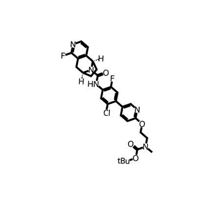 CN(CCOc1ccc(-c2cc(F)c(NC(=O)N3[C@H]4CC[C@@H]3c3ccnc(F)c3C4)cc2Cl)cn1)C(=O)OC(C)(C)C